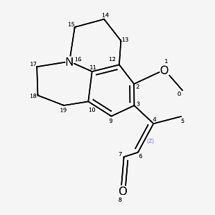 COc1c(/C(C)=C\C=O)cc2c3c1CCCN3CCC2